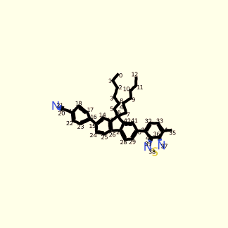 CCCCCCC1(CCCCCC)c2cc(-c3ccc(C#N)cc3)ccc2-c2ccc(-c3ccc(C)c4nsnc34)cc21